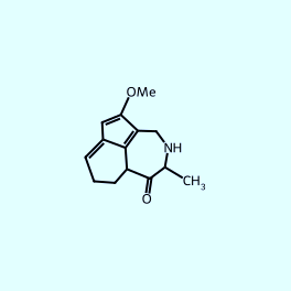 COC1=CC2=CCCC3C(=O)C(C)NCC1=C23